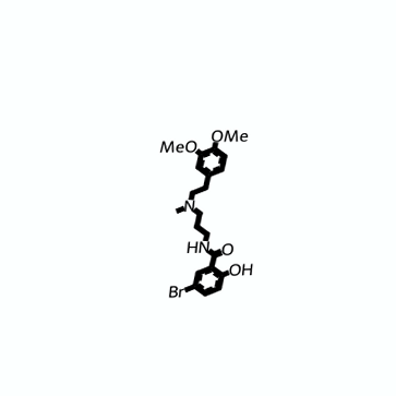 COc1ccc(CCN(C)CCCNC(=O)c2cc(Br)ccc2O)cc1OC